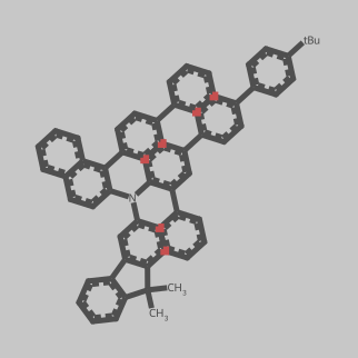 CC(C)(C)c1ccc(-c2ccc(-c3ccc(N(c4ccc5c(c4)-c4ccccc4C5(C)C)c4ccc5ccccc5c4-c4ccc(-c5ccccc5)cc4)c(-c4ccccc4)c3)cc2)cc1